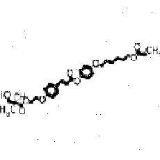 C=CC(=O)OCCCCCCOc1ccc(OC(=O)/C=C/c2ccc(OCCOC(=O)C(C)(C)CO)cc2)cc1